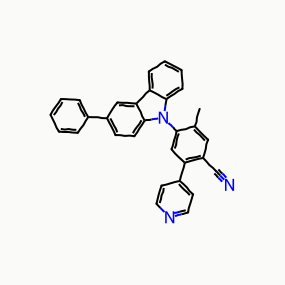 Cc1cc(C#N)c(-c2ccncc2)cc1-n1c2ccccc2c2cc(-c3ccccc3)ccc21